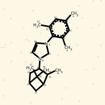 Cc1cc(C)c(N2[C]N(C3CC4CC(C3C)C4(C)C)C=C2)c(C)c1